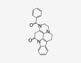 O=C(c1ccccc1)N1CCN2CCc3c4n(c5ccccc35)C(=O)CC1=C42